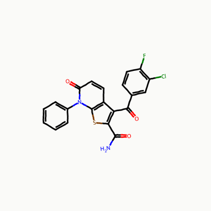 NC(=O)c1sc2c(ccc(=O)n2-c2ccccc2)c1C(=O)c1ccc(F)c(Cl)c1